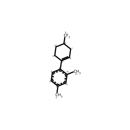 Cc1ccc(C2=CCC(C(F)(F)F)CC2)c(C)c1